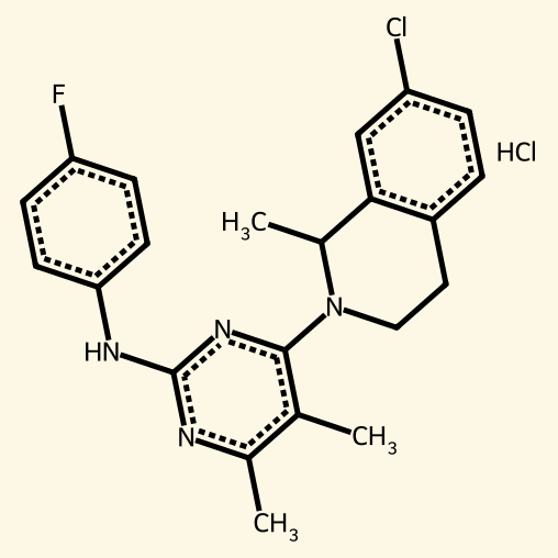 Cc1nc(Nc2ccc(F)cc2)nc(N2CCc3ccc(Cl)cc3C2C)c1C.Cl